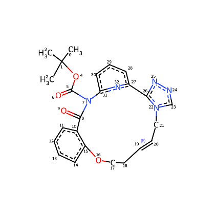 CC(C)(C)OC(=O)N1C(=O)c2ccccc2OCC/C=C/Cn2cnnc2-c2cccc1n2